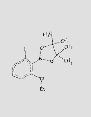 CCOc1cccc(F)c1B1OC(C)(C)C(C)(C)O1